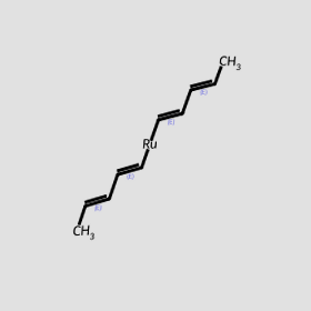 C/C=C/C=[CH]/[Ru]/[CH]=C/C=C/C